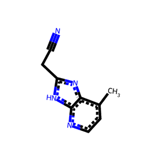 Cc1ccnc2[nH]c(CC#N)nc12